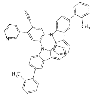 Cc1ccccc1-c1ccc2c(c1)c1ccccc1n2-c1cc(C#N)c(-c2cccnc2)cc1-n1c2ccccc2c2cc(-c3ccccc3C)ccc21